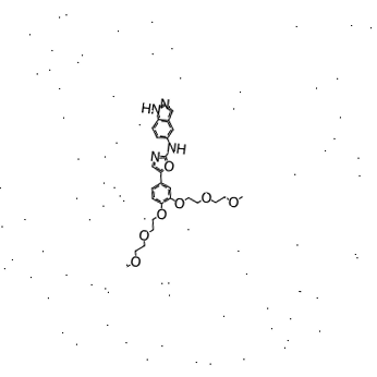 COCCOCCOc1ccc(-c2cnc(Nc3ccc4[nH]ncc4c3)o2)cc1OCCOCCOC